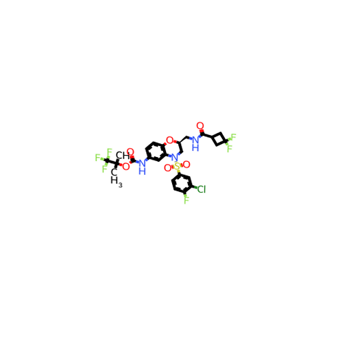 CC(C)(OC(=O)Nc1ccc2c(c1)N(S(=O)(=O)c1ccc(F)c(Cl)c1)C[C@H](CNC(=O)C1CC(F)(F)C1)O2)C(F)(F)F